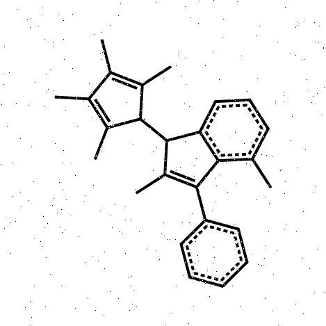 CC1=C(C)C(C)=C(C)[C]1C1C(C)=C(c2ccccc2)c2c(C)cccc21